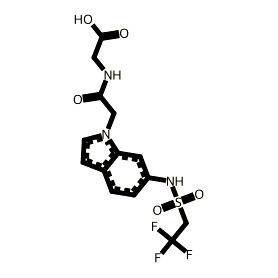 O=C(O)CNC(=O)Cn1ccc2ccc(NS(=O)(=O)CC(F)(F)F)cc21